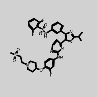 CC(C)c1nc(-c2cccc(NS(=O)(=O)c3c(F)cccc3F)c2)c(-c2ccnc(Nc3ccc(OC4CCN(CCS(C)(=O)=O)CC4)c(F)c3)n2)s1